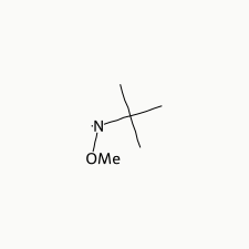 CO[N]C(C)(C)C